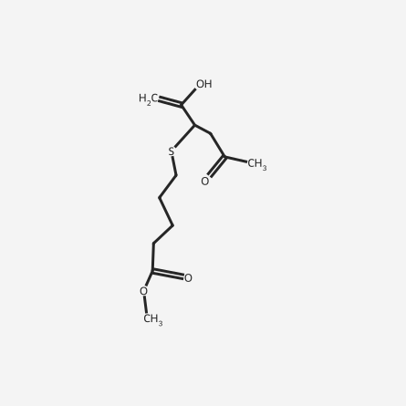 C=C(O)C(CC(C)=O)SCCCCC(=O)OC